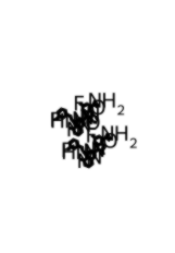 COc1nc2c(C(N)=O)cc(F)cc2n1-c1nc2c(c(NCc3cccc(F)c3)n1)N(C)CCC2.Cc1cc2c(C(N)=O)cc(F)cc2n1-c1nc2c(c(NCc3cccc(F)c3)n1)N(C)CCC2